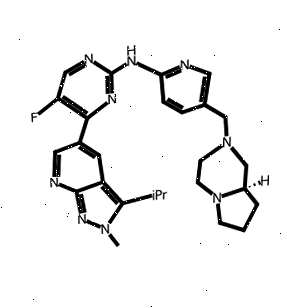 CC(C)c1c2cc(-c3nc(Nc4ccc(CN5CCN6CCC[C@@H]6C5)cn4)ncc3F)cnc2nn1C